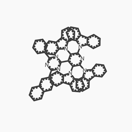 c1ccc(-c2nc(-c3ccc4ccccc4c3)nc(-c3c(-n4c5ccccc5c5ccccc54)c(-n4c5ccccc5c5ccccc54)nc(-n4c5ccccc5c5ccccc54)c3-n3c4ccccc4c4ccccc43)n2)cc1